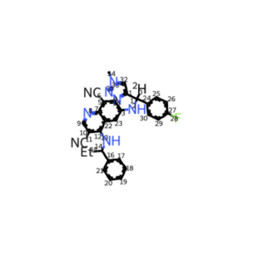 [2H]C(Nc1cc(C#N)c2ncc(C#N)c(NC(CC)c3ccccc3)c2c1)(c1ccc(F)cc1)c1cn(C)nn1